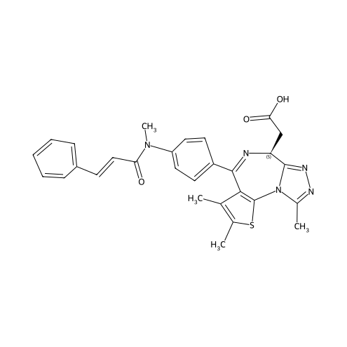 Cc1sc2c(c1C)C(c1ccc(N(C)C(=O)C=Cc3ccccc3)cc1)=N[C@@H](CC(=O)O)c1nnc(C)n1-2